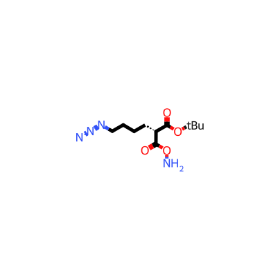 CC(C)(C)OC(=O)[C@@H](CCCCN=[N+]=[N-])C(=O)ON